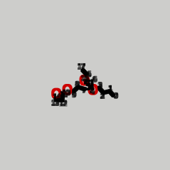 CCCCO[Si](C)(CCCOC1CCO1)OCC